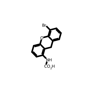 O=C(O)Nc1cccc2c1Cc1cccc(Br)c1O2